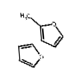 Cc1ccco1.c1ccoc1